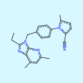 CCc1nc2c(C)cc(C)nc2n1Cc1ccc(-n2c(C)ccc2C#N)cc1